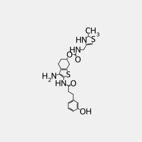 CC1NC(CNC(=O)OC2CCc3c(sc(NC(=O)CCc4cccc(O)c4)c3N)C2)=CS1